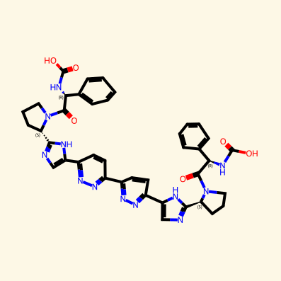 O=C(O)N[C@@H](C(=O)N1CCC[C@H]1c1ncc(-c2ccc(-c3ccc(-c4cnc([C@@H]5CCCN5C(=O)[C@H](NC(=O)O)c5ccccc5)[nH]4)nn3)nn2)[nH]1)c1ccccc1